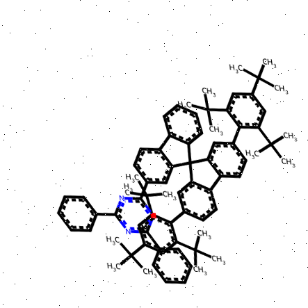 CC(C)(C)c1cc(C(C)(C)C)c(-c2ccc3c(c2)C2(c4ccccc4-c4ccc(-c5nc(-c6ccccc6)nc(-c6ccccc6)n5)cc42)c2cc(-c4c(C(C)(C)C)cc(C(C)(C)C)cc4C(C)(C)C)ccc2-3)c(C(C)(C)C)c1